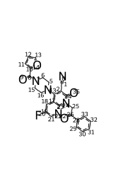 N#Cc1c(N2CCN(C(=O)c3ccco3)CC2)c2cc(F)cnc2n(CC(=O)c2ccccc2)c1=O